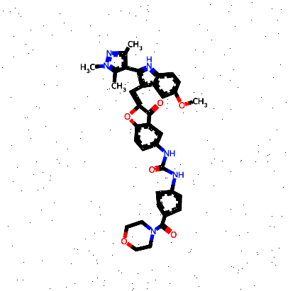 COc1ccc2[nH]c(-c3c(C)nn(C)c3C)c(C=C3Oc4ccc(NC(=O)Nc5ccc(C(=O)N6CCOCC6)cc5)cc4C3=O)c2c1